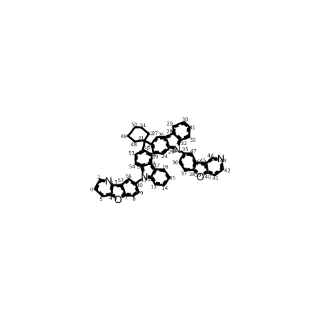 c1cnc2c(c1)oc1ccc(-n3c4ccccc4c4cc(C5(c6ccc7c(c6)c6ccccc6n7-c6ccc7oc8ccncc8c7c6)CCCCC5)ccc43)cc12